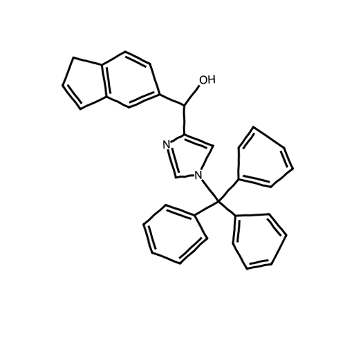 OC(c1ccc2c(c1)C=CC2)c1cn(C(c2ccccc2)(c2ccccc2)c2ccccc2)cn1